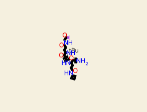 CC(C)(C)NC(CCC(=O)NCC(=O)I)C(=O)C(C)(C)C(C)(C)NC(CCC(=O)NC1CCC1)C(=O)C(C)(C)N